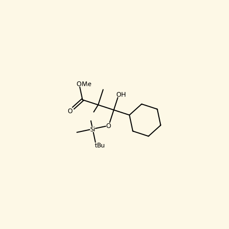 COC(=O)C(C)(C)C(O)(O[Si](C)(C)C(C)(C)C)C1CCCCC1